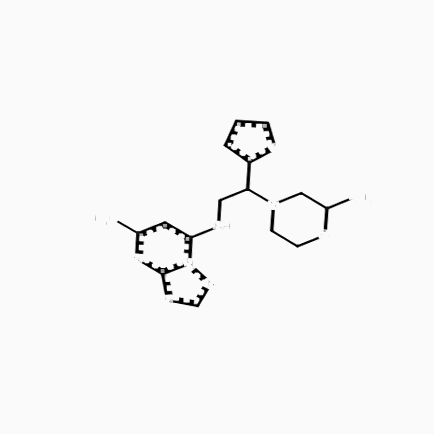 Cc1cc(NCC(c2cccs2)N2CCOC(C)C2)n2ncnc2n1